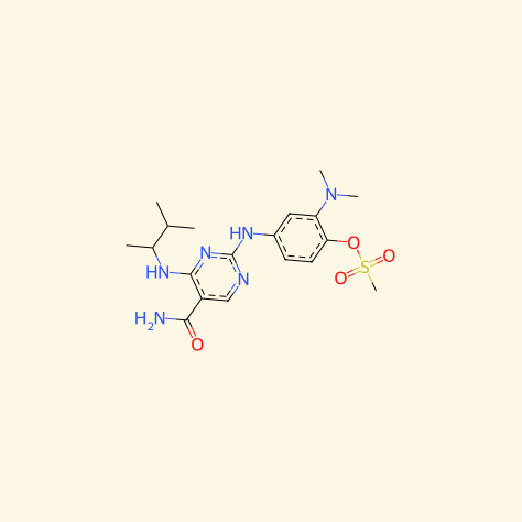 CC(C)C(C)Nc1nc(Nc2ccc(OS(C)(=O)=O)c(N(C)C)c2)ncc1C(N)=O